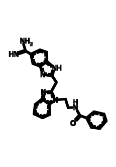 N=C(N)c1ccc2[nH]c(Cc3nc4ccccc4n3CCNC(=O)c3ccccc3)nc2c1